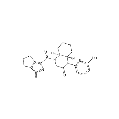 O=C(c1n[nH]c2c1CCC2)N1CC(=O)N(c2cccc(O)n2)[C@H]2CCCC[C@@H]21